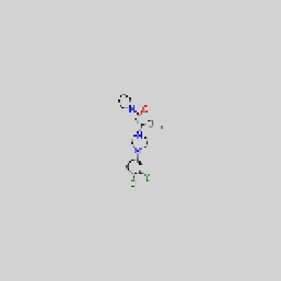 CC(CC(=O)N1CCCC1)N1CCN(c2ccc(Cl)c(Cl)c2)CC1